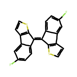 Fc1ccc2c(c1)-c1ccsc1/C2=C1\c2ccc(F)cc2-c2ccsc21